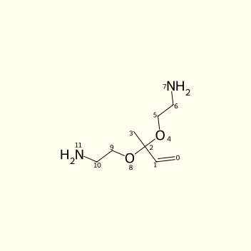 C=CC(C)(OCCN)OCCN